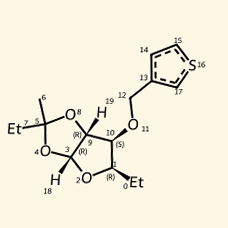 CC[C@H]1O[C@@H]2OC(C)(CC)O[C@@H]2[C@H]1OCc1ccsc1